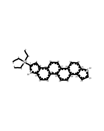 CC[Si](CC)(CC)c1cc2c(ccc3c2ccc2c4ccc5sccc5c4ccc32)s1